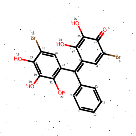 O=C1C(Br)=C/C(=C(\c2ccccc2)c2cc(Br)c(O)c(O)c2O)C(O)=C1O